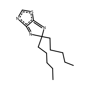 CCCCCC1(CCCCC)N=c2ncsc2=N1